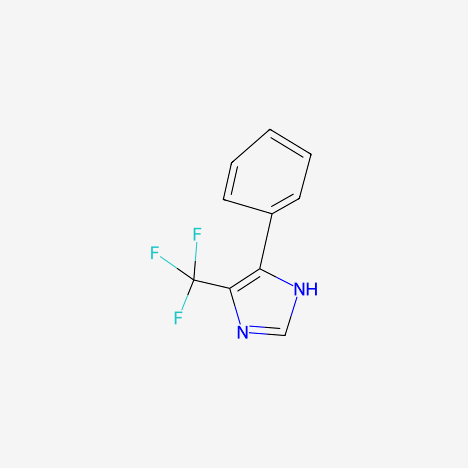 FC(F)(F)c1nc[nH]c1-c1ccccc1